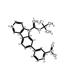 CC(C)(C)OC(=O)n1c2ccncc2c2ccc(-c3ccnc([N+](=O)[O-])c3)cc21